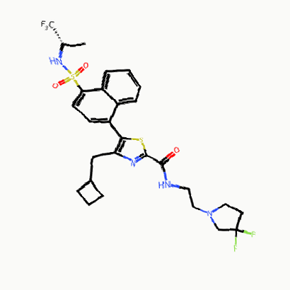 C[C@H](NS(=O)(=O)c1ccc(-c2sc(C(=O)NCCN3CCC(F)(F)C3)nc2CC2CCC2)c2ccccc12)C(F)(F)F